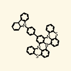 C1=CC2c3ccccc3N(c3ccc(-c4cc5c6c(c4)N4c7ccccc7Sc7cccc(c74)B6c4cccc6c4N5c4ccccc4S6)cc3)C2C=C1